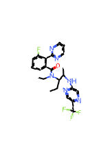 CCC(C(C)Nc1cnc(C(F)(F)F)cn1)N(CC)C(=O)c1cccc(F)c1-c1ncccn1